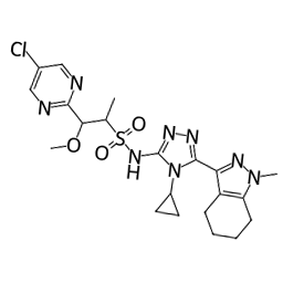 COC(c1ncc(Cl)cn1)C(C)S(=O)(=O)Nc1nnc(-c2nn(C)c3c2CCCC3)n1C1CC1